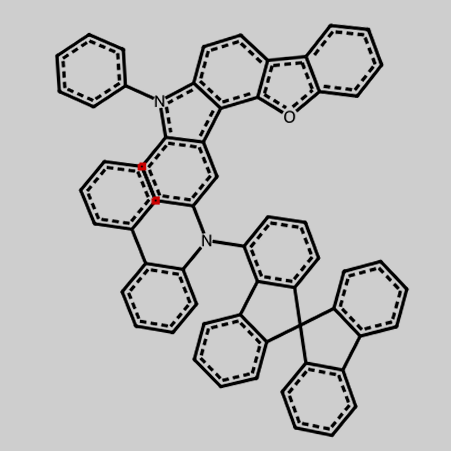 c1ccc(-c2ccccc2N(c2ccc3c(c2)c2c4oc5ccccc5c4ccc2n3-c2ccccc2)c2cccc3c2-c2ccccc2C32c3ccccc3-c3ccccc32)cc1